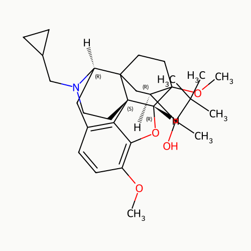 COc1ccc2c3c1O[C@H]1C4(OC)CCC5(C[C@@H]4C(C)(O)C(C)(C)C)[C@@H](C2)N(CC2CC2)CC[C@]315